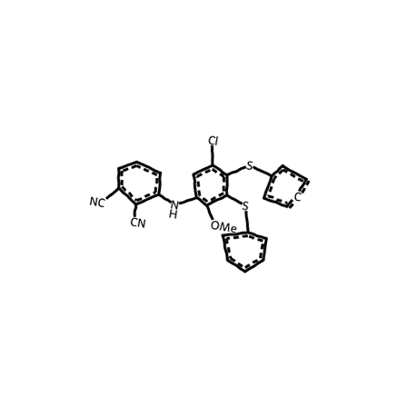 COc1c(Nc2cccc(C#N)c2C#N)cc(Cl)c(Sc2ccccc2)c1Sc1ccccc1